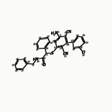 N#Cc1c(N)nc(SC(C(=O)NCc2ccccc2)c2ccccc2)c(C#N)c1-c1cccc(Cl)c1